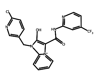 O=C(Nc1cc(C(F)(F)F)ccn1)c1c(O)n(Cc2ccc(Cl)nc2)c2cccc[n+]12